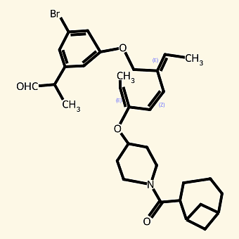 C\C=C(/C=C\C(=C/C)OC1CCN(C(=O)C2CCCC3CC2C3)CC1)COc1cc(Br)cc(C(C)C=O)c1